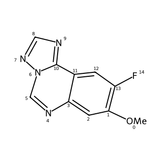 COc1cc2ncn3ncnc3c2cc1F